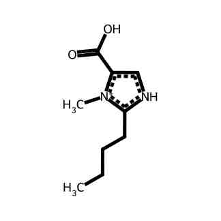 CCCCc1[nH]cc(C(=O)O)[n+]1C